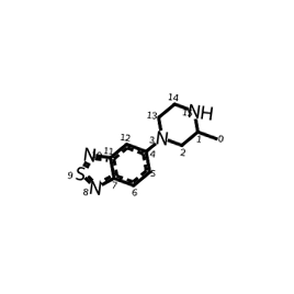 CC1CN(c2ccc3nsnc3c2)CCN1